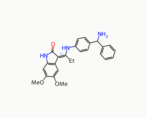 CC/C(Nc1ccc(C(N)c2ccccc2)cc1)=C1/C(=O)Nc2cc(OC)c(OC)cc21